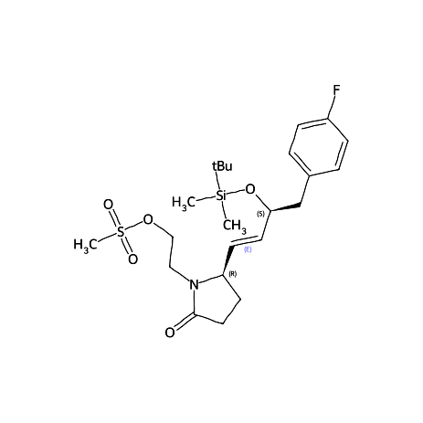 CC(C)(C)[Si](C)(C)O[C@H](/C=C/[C@H]1CCC(=O)N1CCOS(C)(=O)=O)Cc1ccc(F)cc1